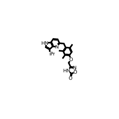 Cc1cc(OCc2noc(=O)[nH]2)c(C)c(C)c1Cc1ccc2[nH]cc(C(C)C)c2n1